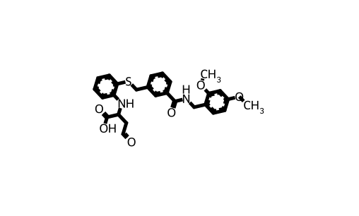 COc1ccc(CNC(=O)c2cccc(CSc3ccccc3NC(CC=O)C(=O)O)c2)c(OC)c1